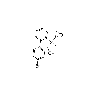 CC(CO)(c1ccccc1-c1ccc(Br)cc1)C1CO1